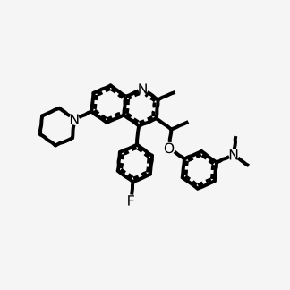 Cc1nc2ccc(N3CCCCC3)cc2c(-c2ccc(F)cc2)c1C(C)Oc1cccc(N(C)C)c1